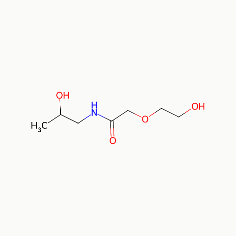 CC(O)CNC(=O)COCCO